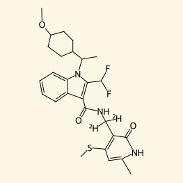 [2H]C([2H])(NC(=O)c1c(C(F)F)n(C(C)C2CCC(OC)CC2)c2ccccc12)c1c(SC)cc(C)[nH]c1=O